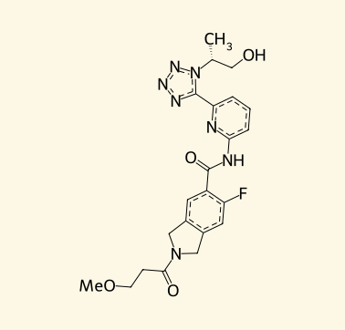 COCCC(=O)N1Cc2cc(F)c(C(=O)Nc3cccc(-c4nnnn4[C@H](C)CO)n3)cc2C1